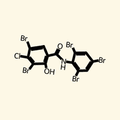 O=C(Nc1c(Br)cc(Br)cc1Br)c1cc(Br)c(Cl)c(Br)c1O